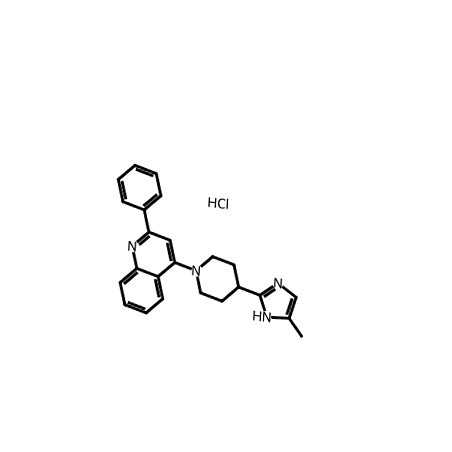 Cc1cnc(C2CCN(c3cc(-c4ccccc4)nc4ccccc34)CC2)[nH]1.Cl